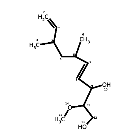 C=CC(C)CC(C)/C=C/C(O)C(CO)OC